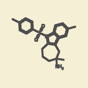 Cc1ccc(S(=O)(=O)n2c3c(c4cc(C)ccc42)CC(C)(N)CCC3)cc1